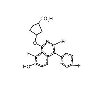 CC(C)c1nc(O[C@H]2CCC(C(=O)O)C2)c2c(F)c(O)ccc2c1-c1ccc(F)cc1